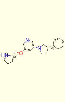 C1=CC[C@H](C2CCN(c3cncc(OC[C@@H]4CCCN4)c3)C2)C=C1